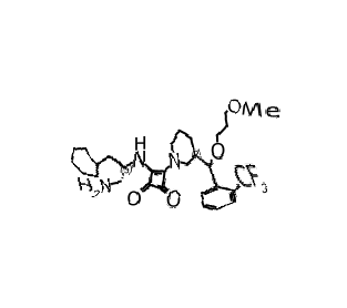 COCCCOC(c1ccccc1C(F)(F)F)[C@@H]1CCCN(c2c(N[C@H](CN)CC3CCCCC3)c(=O)c2=O)C1